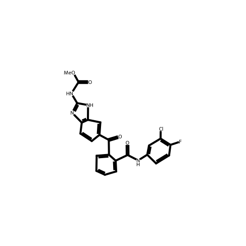 COC(=O)Nc1nc2ccc(C(=O)c3ccccc3C(=O)Nc3ccc(F)c(Cl)c3)cc2[nH]1